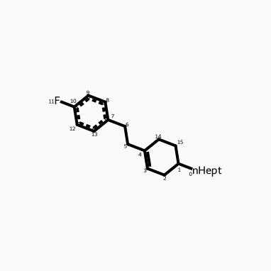 CCCCCCCC1CC=C(CCc2ccc(F)cc2)CC1